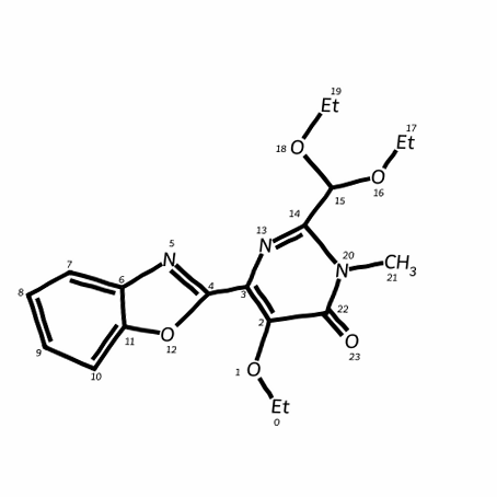 CCOc1c(-c2nc3ccccc3o2)nc(C(OCC)OCC)n(C)c1=O